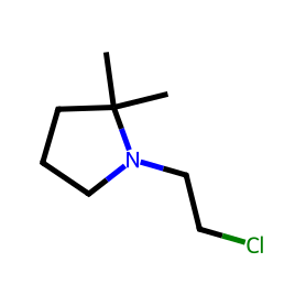 CC1(C)CCCN1CCCl